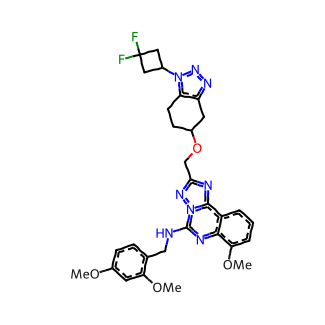 COc1ccc(CNc2nc3c(OC)cccc3c3nc(COC4CCc5c(nnn5C5CC(F)(F)C5)C4)nn23)c(OC)c1